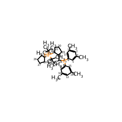 Cc1cc(C)cc(P(c2cc(C)cc(C)c2)C(C)[C@@H]2CCC[C@@H]2[PH](C2CCCC2)(C(C)(C)C)C(C)(C)C)c1